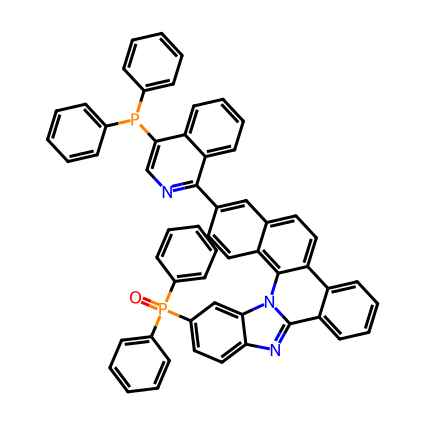 O=P(c1ccccc1)(c1ccccc1)c1ccc2nc3c4ccccc4c4ccc5cc(-c6ncc(P(c7ccccc7)c7ccccc7)c7ccccc67)ccc5c4n3c2c1